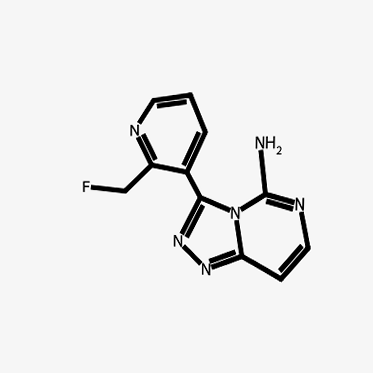 Nc1nccc2nnc(-c3cccnc3CF)n12